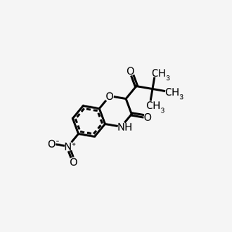 CC(C)(C)C(=O)C1Oc2ccc([N+](=O)[O-])cc2NC1=O